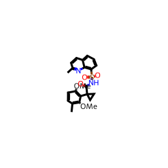 COc1ccc(C)c(OC)c1C1(C(=O)NS(=O)(=O)c2cccc3ccc(C)nc23)CC1